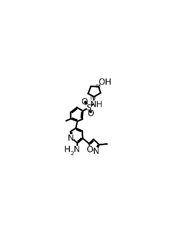 Cc1cc(-c2cc(-c3cc(S(=O)(=O)N[C@H]4CC[C@H](O)C4)ccc3C)cnc2N)on1